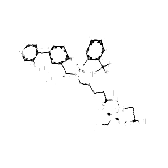 CCS(=O)(=O)N(CC(=O)O)NC(=O)CCCCN([C@@H](C)c1cccc(-c2ccncc2C)c1)S(=O)(=O)c1ccccc1C(F)(F)F